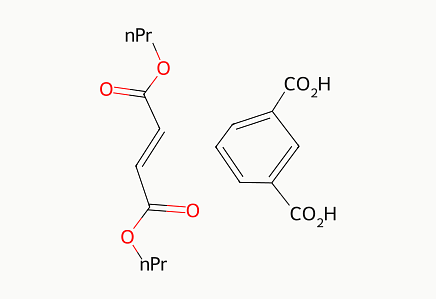 CCCOC(=O)/C=C/C(=O)OCCC.O=C(O)c1cccc(C(=O)O)c1